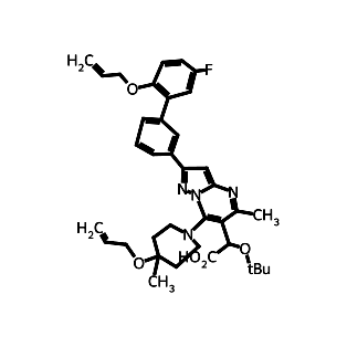 C=CCOc1ccc(F)cc1-c1cccc(-c2cc3nc(C)c(C(OC(C)(C)C)C(=O)O)c(N4CCC(C)(OCC=C)CC4)n3n2)c1